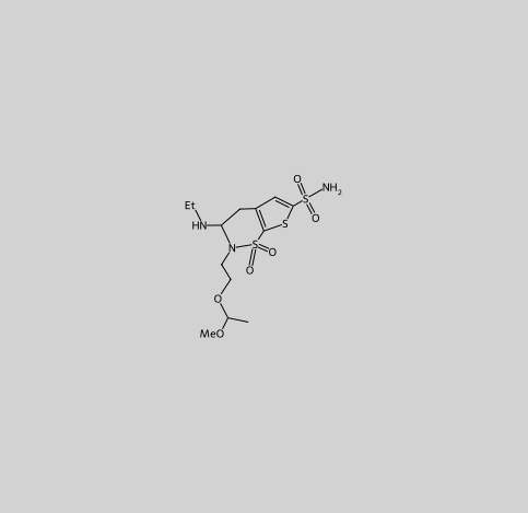 CCNC1Cc2cc(S(N)(=O)=O)sc2S(=O)(=O)N1CCOC(C)OC